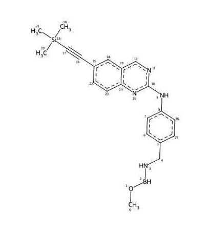 COBNCc1ccc(Nc2ncc3cc(C#C[Si](C)(C)C)ccc3n2)cc1